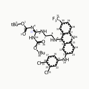 CC(C)(C)OC(=O)/N=C(/NCCNc1c2cc(Nc3ccc(Cl)c(Cl)c3)ccc2nc2ccc(C(F)(F)F)cc12)NC(=O)OC(C)(C)C